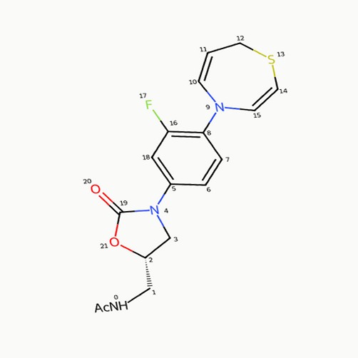 CC(=O)NC[C@H]1CN(c2ccc(N3C=CCSC=C3)c(F)c2)C(=O)O1